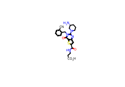 N#Cc1ccccc1Cn1c(N2CCC[C@@H](N)C2)nc2cc(C(=O)NCCC(=O)O)sc2c1=O